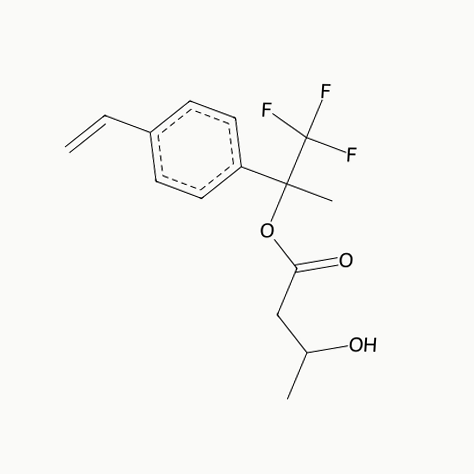 C=Cc1ccc(C(C)(OC(=O)CC(C)O)C(F)(F)F)cc1